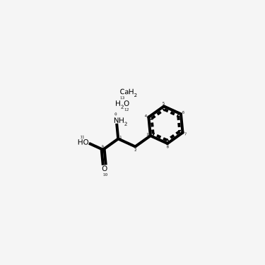 NC(Cc1ccccc1)C(=O)O.O.[CaH2]